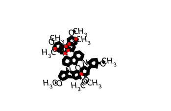 COc1ccc2c(c1)c1cc(OC)ccc1n2-c1ccc(-n2c3ccc(OC)cc3c3cc(OC)ccc32)c2c1C(=O)c1c(-n3c4ccc(OC)cc4c4cc(OC)ccc43)ccc(-n3c4ccc(OC)cc4c4cc(OC)ccc43)c1-2